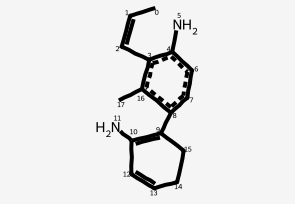 C/C=C\c1c(N)ccc(C2=C(N)C=CCC2)c1C